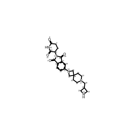 O=C1CCC(N2C(=O)c3ccc(N4CC5(CCN(CC6CNC6)CC5)C4)cc3C2=O)C(=O)N1